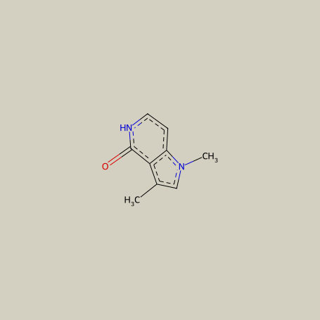 Cc1cn(C)c2cc[nH]c(=O)c12